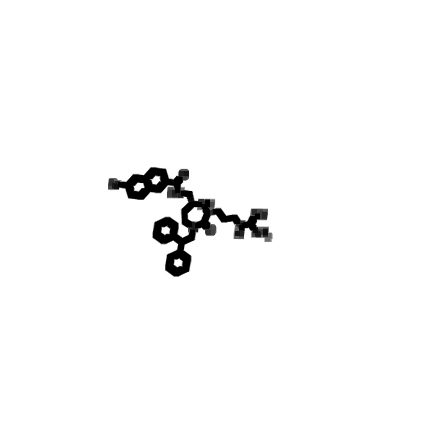 N=C(N)NCCC[C@@H]1N[C@H](CNC(=O)c2ccc3cc(Br)ccc3c2)CCN(CC(c2ccccc2)c2ccccc2)C1=O